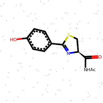 CC(=O)NC(=O)[C@@H]1CSC(c2ccc(O)cc2)=N1